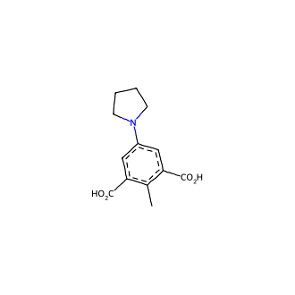 Cc1c(C(=O)O)cc(N2CCCC2)cc1C(=O)O